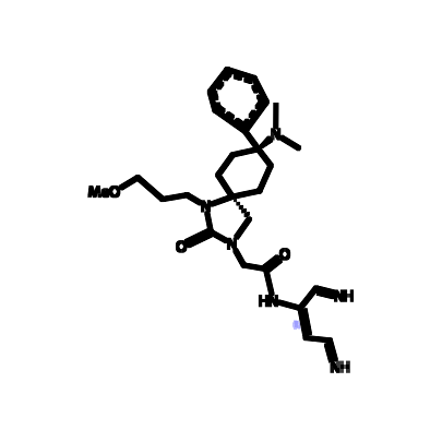 COCCCN1C(=O)N(CC(=O)N/C(C=N)=C/C=N)C[C@]12CC[C@](c1ccccc1)(N(C)C)CC2